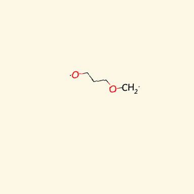 [CH2]OCCC[O]